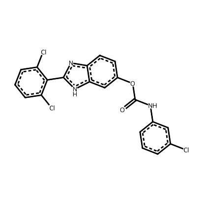 O=C(Nc1cccc(Cl)c1)Oc1ccc2nc(-c3c(Cl)cccc3Cl)[nH]c2c1